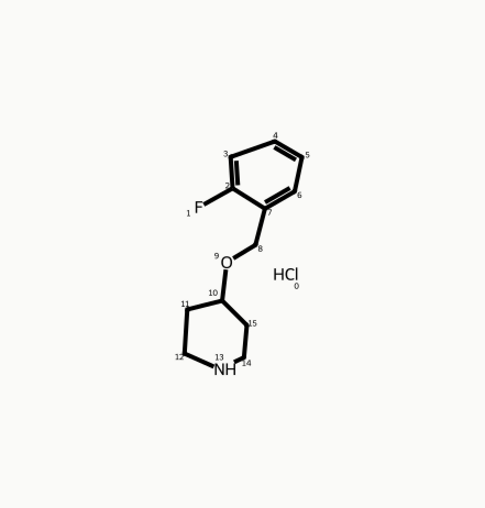 Cl.Fc1ccccc1COC1CCNCC1